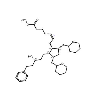 CCCOC(=O)CCC/C=C\C[C@@H]1[C@@H](CC[C@@H](O)CCc2ccccc2)[C@H](OC2CCCCO2)C[C@@H]1OC1CCCCO1